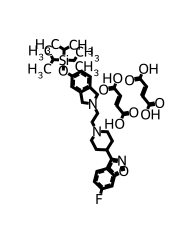 CC(C)[Si](Oc1ccc2c(c1)CN(CCN1CCC(c3noc4cc(F)ccc34)CC1)C2)(C(C)C)C(C)C.O=C(O)/C=C/C(=O)O.O=C(O)/C=C/C(=O)O